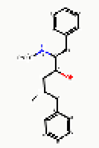 CCOC(=O)N[C@@H](Cc1ccccc1)C(O)C[C@@H](C)Cc1ccccc1